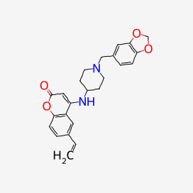 C=Cc1ccc2oc(=O)cc(NC3CCN(Cc4ccc5c(c4)OCO5)CC3)c2c1